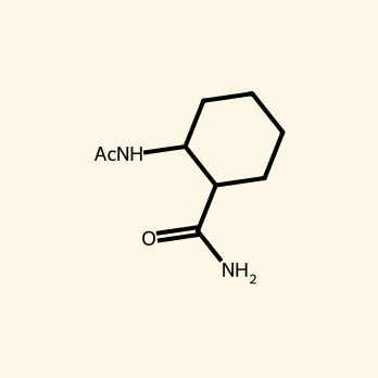 CC(=O)NC1CCCCC1C(N)=O